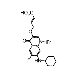 CC(C)n1cc(OCC=CC(=O)O)c(=O)c2cc(F)c(NC3CCCCC3)cc21